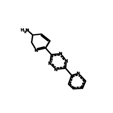 NC1C=CC(c2nnc(-c3ccccn3)nn2)=NC1